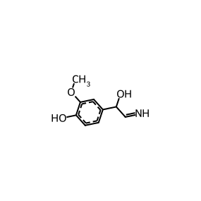 COc1cc(C(O)C=N)ccc1O